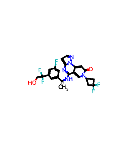 C[C@@H](Nc1nc2ccnn2c2cc(=O)n(C3CC(F)(F)C3)cc12)c1cc(F)cc(C(F)(F)CO)c1